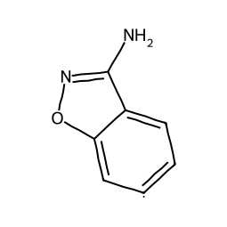 Nc1noc2c[c]ccc12